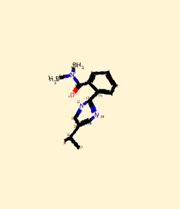 BN(B)C(=O)c1ccccc1-c1ncc(C(C)C)cn1